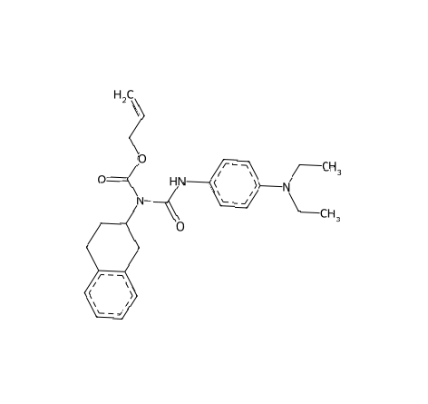 C=CCOC(=O)N(C(=O)Nc1ccc(N(CC)CC)cc1)C1CCc2ccccc2C1